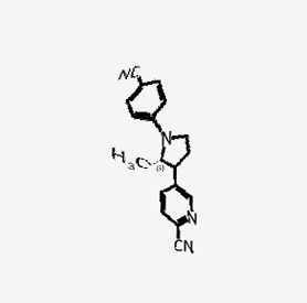 C[C@H]1C(c2ccc(C#N)nc2)CCN1c1ccc(C#N)cc1